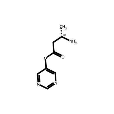 C[C@H](N)CC(=O)Oc1cncnc1